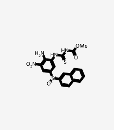 COC(=O)NC(=S)Nc1cc([S+]([O-])c2ccc3ccccc3c2)cc([N+](=O)[O-])c1N